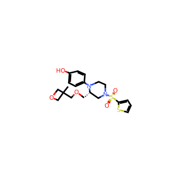 CC1(COC[C@H]2CN(S(=O)(=O)c3cccs3)CCN2c2ccc(O)cc2)COC1